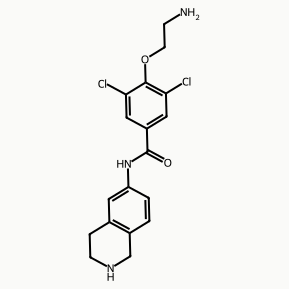 NCCOc1c(Cl)cc(C(=O)Nc2ccc3c(c2)CCNC3)cc1Cl